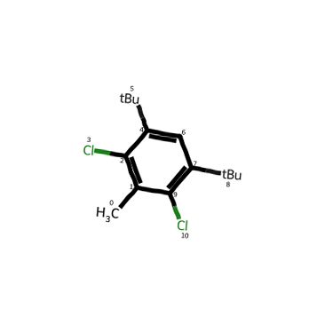 Cc1c(Cl)c(C(C)(C)C)cc(C(C)(C)C)c1Cl